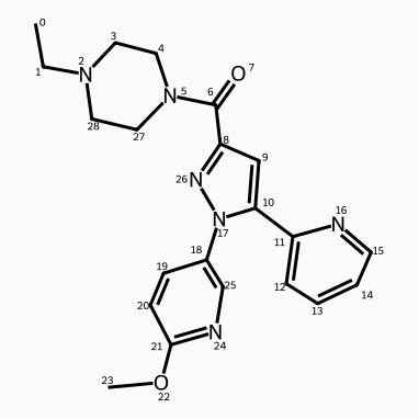 CCN1CCN(C(=O)c2cc(-c3ccccn3)n(-c3ccc(OC)nc3)n2)CC1